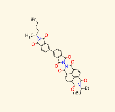 CCCCC(CC)N1C(=O)c2ccc3c4c(ccc(c24)C1=O)C(=O)N(N1C(=O)c2ccc(-c4ccc5c(c4)C(=O)N(C(C)CCCC(C)C)C5=O)cc2C1=O)C3=O